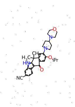 CC(C)Oc1cc2c(cc1N1CCC(N3CCOCC3)CC1)C(C)(C)c1[nH]c3cc(C#N)ccc3c1C2=O